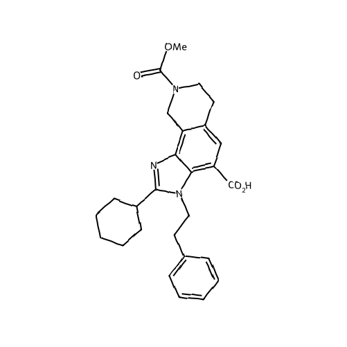 COC(=O)N1CCc2cc(C(=O)O)c3c(nc(C4CCCCC4)n3CCc3ccccc3)c2C1